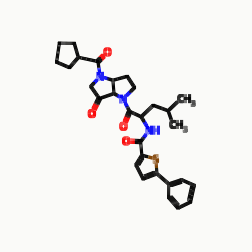 CC(C)CC(NC(=O)c1ccc(-c2ccccc2)s1)C(=O)N1CCC2C1C(=O)CN2C(=O)C1CCCC1